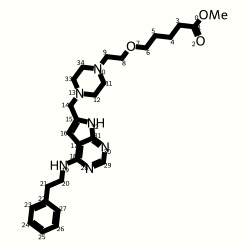 COC(=O)CCCCOCCN1CCN(Cc2cc3c(NCCc4ccccc4)ncnc3[nH]2)CC1